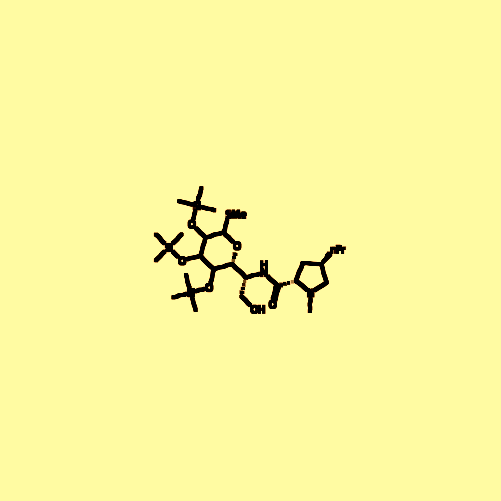 CCC[C@@H]1C[C@@H](C(=O)N[C@H](CO)[C@H]2OC(SC)C(O[Si](C)(C)C)C(O[Si](C)(C)C)C2O[Si](C)(C)C)N(C)C1